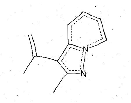 C=C(C)c1c(C)nn2ccccc12